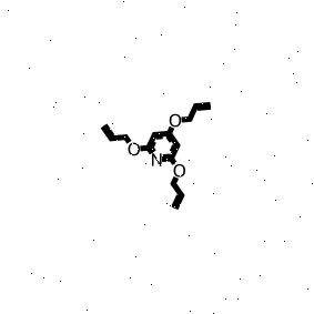 C=CCOc1cc(OCC=C)nc(OCC=C)c1